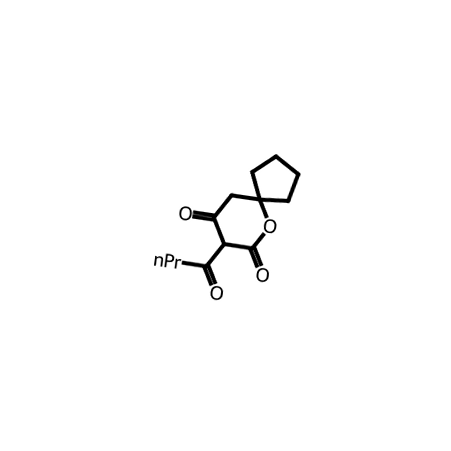 CCCC(=O)C1C(=O)CC2(CCCC2)OC1=O